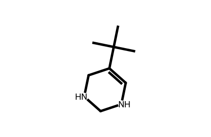 CC(C)(C)C1=CNCNC1